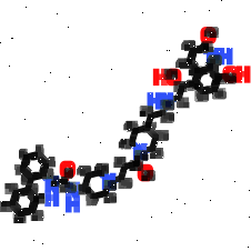 O=C(Nc1ccccc1-c1ccccc1)NC1CCN(CCC(=O)N2CCC(CCNCC(O)c3ccc(O)c4[nH]c(=O)ccc34)CC2)CC1